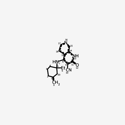 C=C1CCCC(CC)(Nc2c(C#N)c(=O)[nH]c3cnccc23)C1